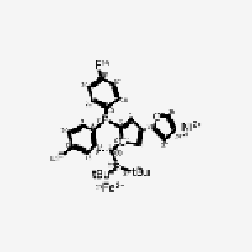 C[C@H]([c-]1cccc1P(c1ccc(F)cc1)c1ccc(F)cc1)P(C(C)(C)C)C(C)(C)C.[Fe+2].[Ni+2].c1cc[cH-]c1